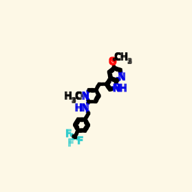 COc1cnc2[nH]cc(CC3=CN(C)C(NCc4ccc(C(F)(F)F)cc4)C=C3)c2c1